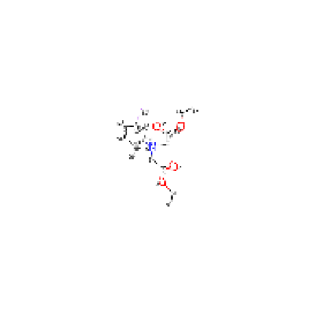 CCOC(=O)CN(CC(=O)OCC)c1cc(I)ccc1C